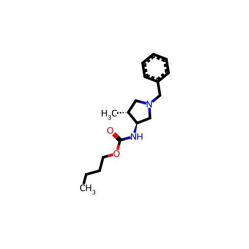 CCCCOC(=O)N[C@@H]1CN(Cc2ccccc2)C[C@H]1C